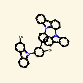 N#Cc1ccc2c3ccccc3n(-c3ccc(C#N)c(-c4ccc(-n5c6ccccc6c6cccc(-n7c8ccccc8c8ccccc87)c65)cc4)c3)c2c1